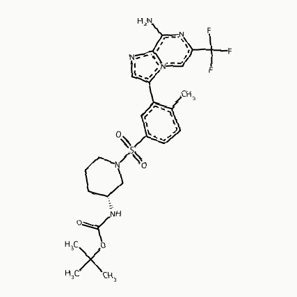 Cc1ccc(S(=O)(=O)N2CCC[C@@H](NC(=O)OC(C)(C)C)C2)cc1-c1cnc2c(N)nc(C(F)(F)F)cn12